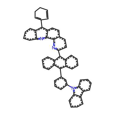 C1=CC(c2c3ccccc3nc3c2ccc2ccc(-c4c5ccccc5c(-c5cccc(-n6c7ccccc7c7ccccc76)c5)c5ccccc45)nc23)=CCC1